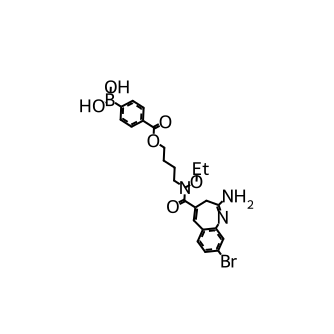 CCON(CCCCOC(=O)c1ccc(B(O)O)cc1)C(=O)C1=Cc2ccc(Br)cc2N=C(N)C1